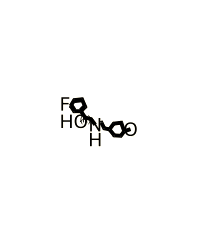 COC1CCC(CCNC[C@H](O)c2cccc(F)c2)CC1